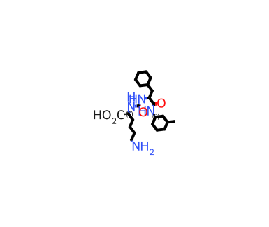 CC1CCC[C@@H](NC(=O)C(CC2CCCCC2)NC(=O)N[C@@H](CCCCN)C(=O)O)C1